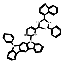 C1=C(C2NC(c3ccccc3)NC(c3cccc4ccccc34)N2)NC(n2c3ccccc3c3cc4c5ccccc5n(-c5ccccc5)c4cc32)NC1